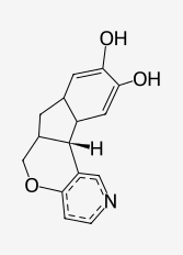 OC1=CC2CC3COc4ccncc4[C@H]3C2C=C1O